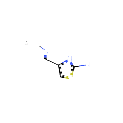 CC(=O)ON=Cc1csc(N)n1